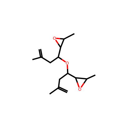 C=C(C)CC(OC(CC(=C)C)C1OC1C)C1OC1C